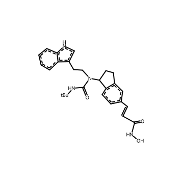 CC(C)(C)NC(=O)N(CCc1c[nH]c2ccccc12)C1CCc2cc(/C=C/C(=O)NO)ccc21